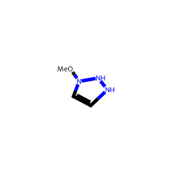 CON1C=CNN1